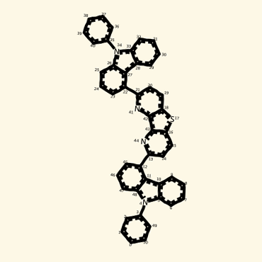 c1ccc(-n2c3ccccc3c3c(-c4ccc5sc6ccc(-c7cccc8c7c7ccccc7n8-c7ccccc7)nc6c5n4)cccc32)cc1